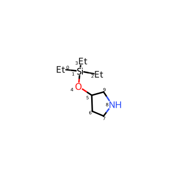 CC[Si](CC)(CC)OC1CCNC1